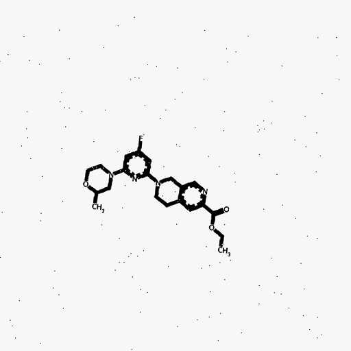 CCOC(=O)c1cc2c(cn1)CN(c1cc(F)cc(N3CCOC(C)C3)n1)CC2